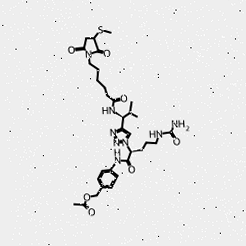 CSC1CC(=O)N(CCCCCC(=O)N[C@H](c2cn([C@@H](CCCNC(N)=O)C(=O)Nc3ccc(COC(C)=O)cc3)nn2)C(C)C)C1=O